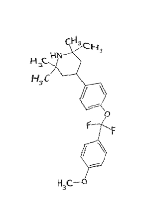 COc1ccc(C(F)(F)Oc2ccc(C3CC(C)(C)NC(C)(C)C3)cc2)cc1